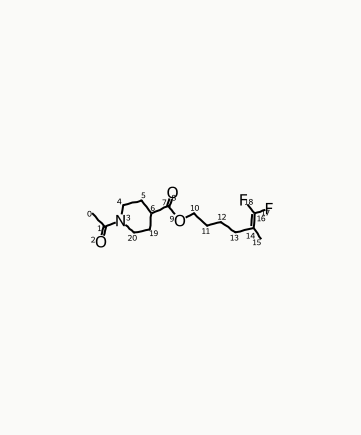 CC(=O)N1CCC(C(=O)OCCCCC(C)=C(F)F)CC1